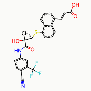 CC(O)(CSc1cccc2c(C=CC(=O)O)cccc12)C(=O)Nc1ccc(C#N)c(C(F)(F)F)c1